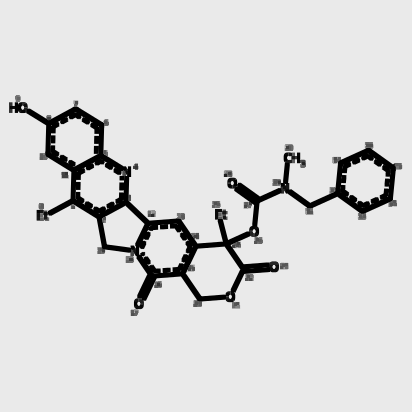 CCc1c2c(nc3ccc(O)cc13)-c1cc3c(c(=O)n1C2)COC(=O)C3(CC)OC(=O)N(C)Cc1cc[c]cc1